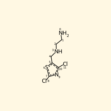 NCCNCc1sc(Cl)nc1Cl